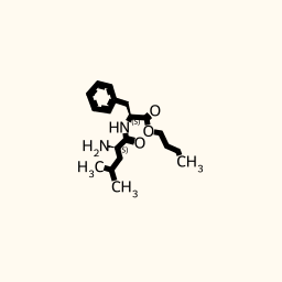 CCCCOC(=O)[C@H](Cc1ccccc1)NC(=O)[C@@H](N)CC(C)C